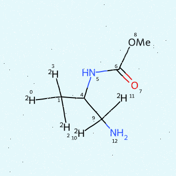 [2H]C([2H])([2H])C(NC(=O)OC)C([2H])([2H])N